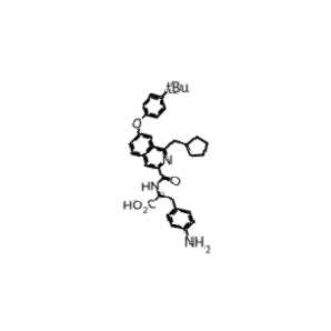 CC(C)(C)c1ccc(Oc2ccc3cc(C(=O)N[C@@H](Cc4ccc(N)cc4)C(=O)O)nc(CC4CCCC4)c3c2)cc1